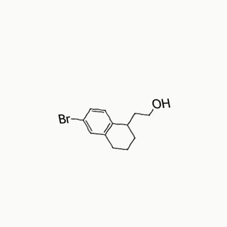 OCCC1CCCc2cc(Br)ccc21